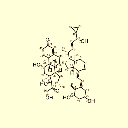 C=C1/C(=C\C=C2/CCC[C@]3(C)[C@@H]([C@H](C)/C=C/[C@@H](O)C4CC4)CC[C@@H]23)C[C@@H](O)C[C@@H]1O.C[C@H]1C[C@H]2[C@@H]3CCC4=CC(=O)C=C[C@]4(C)[C@@]3(Cl)[C@@H](O)C[C@]2(C)[C@@]1(O)C(=O)CO